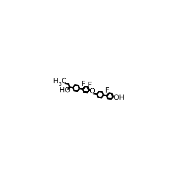 CCCC(O)C1CCC(c2ccc(OCC3CCC(c4ccc(O)cc4F)CC3)c(F)c2F)CC1